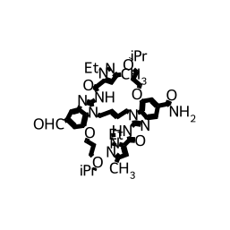 CCn1nc(C)cc1C(=O)Nc1nc2cc(C=O)cc(OCCCOC(C)C)c2n1C/C=C/Cn1c(NC(=O)c2cc(C)nn2CC)nc2cc(C(N)=O)cc(OCCCOC(C)C)c21